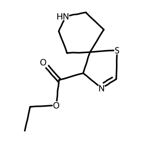 CCOC(=O)C1N=CSC12CCNCC2